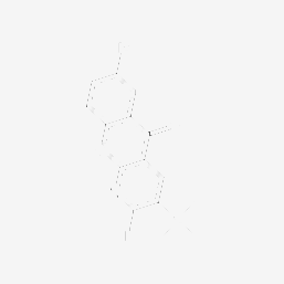 C[Si](C)(C)c1cc2c(=O)c3cc(Br)ccc3oc2nc1F